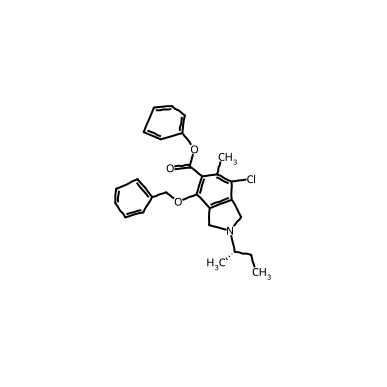 CC[C@H](C)N1Cc2c(Cl)c(C)c(C(=O)Oc3ccccc3)c(OCc3ccccc3)c2C1